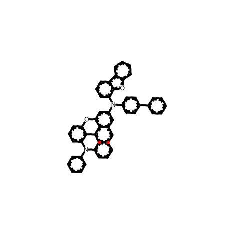 c1ccc(-c2ccc(N(c3cc4c5c(cccc5c3)-c3c(cccc3N(c3ccccc3)c3ccccc3)O4)c3cccc4c3oc3ccccc34)cc2)cc1